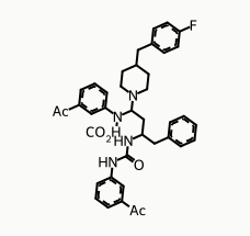 CC(=O)c1cccc(NC(=O)NC(Cc2ccccc2)CC(N2CCC(Cc3ccc(F)cc3)CC2)N(C(=O)O)c2cccc(C(C)=O)c2)c1